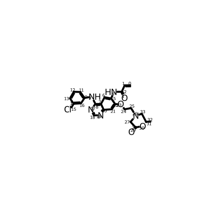 C=CC(=O)Nc1cc2c(Nc3cccc(Cl)c3)ncnc2cc1OCCN1CC(=O)OC(C)C1